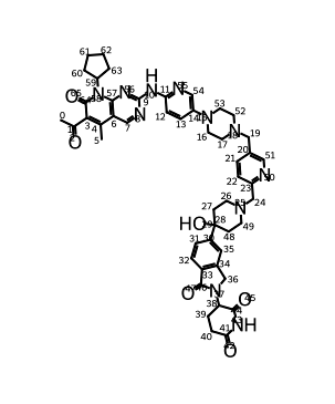 CC(=O)c1c(C)c2cnc(Nc3ccc(N4CCN(Cc5ccc(CN6CCC(O)(c7ccc8c(c7)CN(C7CCC(=O)NC7=O)C8=O)CC6)nc5)CC4)cn3)nc2n(C2CCCC2)c1=O